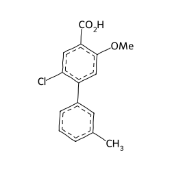 COc1cc(-c2cccc(C)c2)c(Cl)cc1C(=O)O